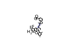 CC/C(=C\C=C(/C)Oc1cccc(C(=O)OC)c1)c1cc(C(F)(F)F)c(N)c(=O)n1Cc1ccc(C)cc1C